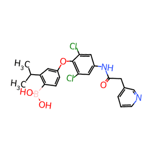 CC(C)c1cc(Oc2c(Cl)cc(NC(=O)Cc3cccnc3)cc2Cl)ccc1B(O)O